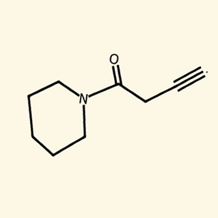 [C]#CCC(=O)N1CCCCC1